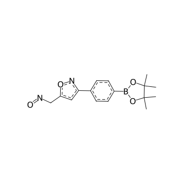 CC1(C)OB(c2ccc(-c3cc(CN=O)on3)cc2)OC1(C)C